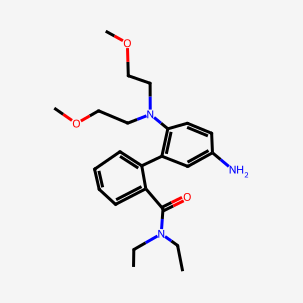 CCN(CC)C(=O)c1ccccc1-c1cc(N)ccc1N(CCOC)CCOC